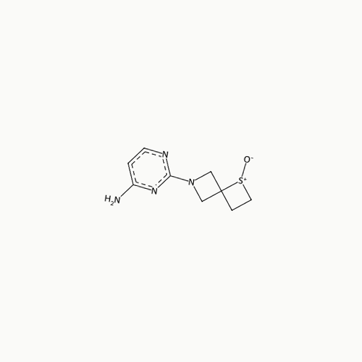 Nc1ccnc(N2CC3(CC[S+]3[O-])C2)n1